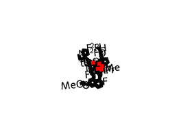 [2H]C([2H])([2H])OCC12CCC(CN(c3nc(OC[C@@]45CCCN4C[C@H](F)C5)nc4c(F)c(-c5cc(OCOC)cc6ccc(F)c(C#C[Si](C(C)C)(C(C)C)C(C)C)c56)nc(OC)c34)C1)N2C(=O)OC(C)(C)C